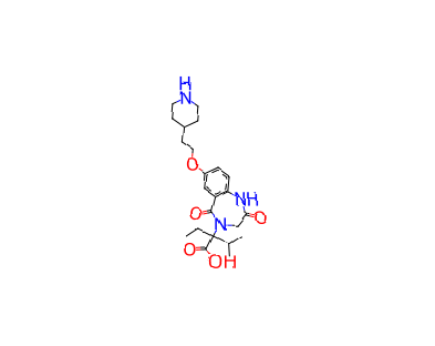 CCC(C(=O)O)(C(C)C)N1CC(=O)Nc2ccc(OCCC3CCNCC3)cc2C1=O